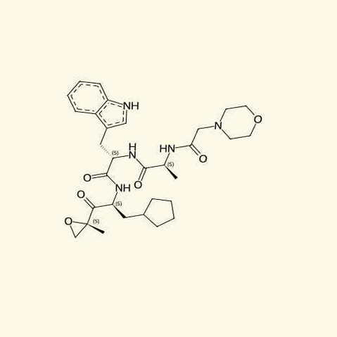 C[C@H](NC(=O)CN1CCOCC1)C(=O)N[C@@H](Cc1c[nH]c2ccccc12)C(=O)N[C@@H](CC1CCCC1)C(=O)[C@]1(C)CO1